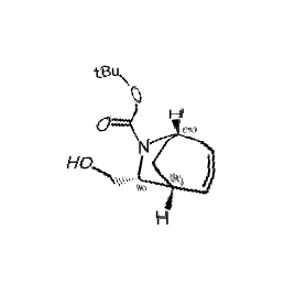 CC(C)(C)OC(=O)N1[C@@H]2C=C[C@@H](C2)[C@@H]1CO